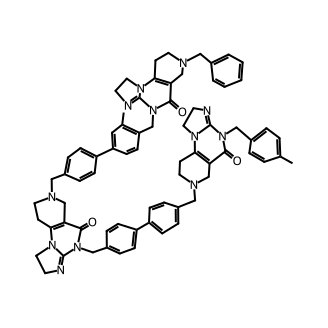 Cc1ccc(CN2C(=O)C3=C(CCN(Cc4ccc(-c5ccc(CN6C(=O)C7=C(CCN(Cc8ccc(-c9ccc(CN%10C(=O)C%11=C(CCN(Cc%12ccccc%12)C%11)N%11CCN=C%10%11)c(C)c9)cc8)C7)N7CCN=C67)cc5)cc4)C3)N3CCN=C23)cc1